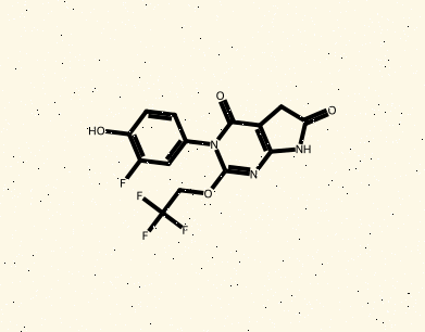 O=C1Cc2c(nc(OCC(F)(F)F)n(-c3ccc(O)c(F)c3)c2=O)N1